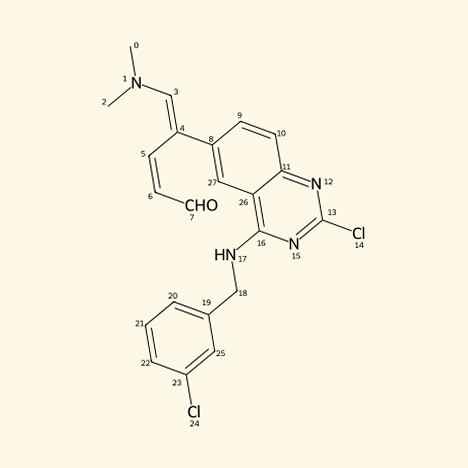 CN(C)/C=C(\C=C/C=O)c1ccc2nc(Cl)nc(NCc3cccc(Cl)c3)c2c1